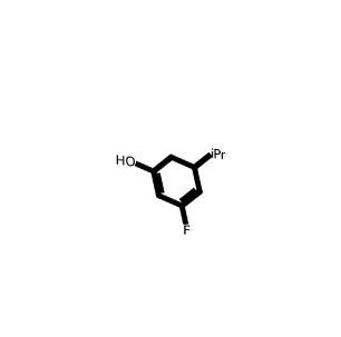 CC(C)C1C=C(F)C=C(O)C1